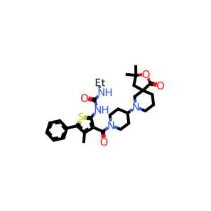 CCNC(=O)Nc1sc(-c2ccccc2)c(C)c1C(=O)N1CCC(N2CCCC3(C2)CC(C)(C)OC3=O)CC1